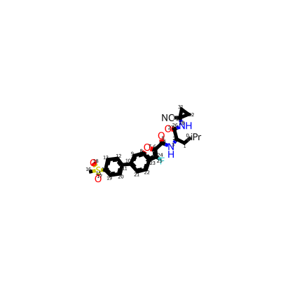 CC(C)CC(NC(=O)c1oc2cc(-c3ccc(S(C)(=O)=O)cc3)ccc2c1F)C(=O)NC1(C#N)CC1